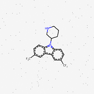 FC(F)(F)c1ccc2c(c1)c1cc(C(F)(F)F)ccc1n2C1CCCNC1